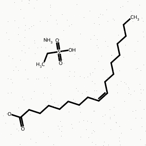 CCCCCCCC/C=C\CCCCCCCC([O])=O.CCS(=O)(=O)O.N